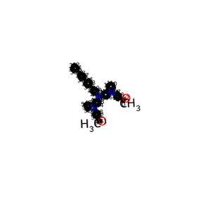 CC(=O)c1ccc(-n2c3ccccc3c3cc(N(c4ccc(-c5ccc(-c6ccc(-c7ccccc7)cc6)cc5)cc4)c4ccc5c(c4)c4ccccc4n5-c4ccc(C(C)=O)cc4)ccc32)cc1